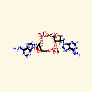 CSP1(=O)OCC2O[C@@H](n3cnc4c(N)ncnc43)[C@@H](OP(C)(=O)OC[C@H]3OCC(F)(Cn4cnc5c(N)ncnc54)C3O1)C2O